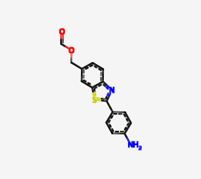 Nc1ccc(-c2nc3ccc(COC=O)cc3s2)cc1